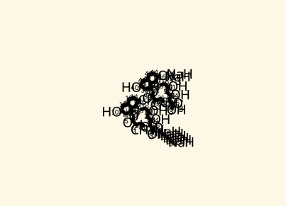 CC[C@H](C)C(=O)O[C@H]1C[C@H](O)C=C2C=C[C@H](C)[C@H](CC[C@@H](O)C[C@@H](O)CC(=O)O)[C@H]21.CC[C@H](C)C(=O)O[C@H]1C[C@H](O)C=C2C=C[C@H](C)[C@H](CC[C@@H](O)C[C@@H](O)CC(=O)O)[C@H]21.[NaH].[NaH].[NaH].[NaH].[NaH].[NaH].[NaH].[NaH]